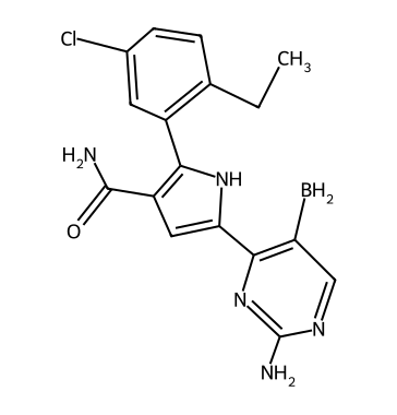 Bc1cnc(N)nc1-c1cc(C(N)=O)c(-c2cc(Cl)ccc2CC)[nH]1